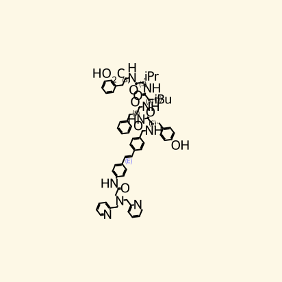 CC[C@H](C)[C@H](NC(=O)[C@H](Cc1ccccc1)NC(=O)[C@H](Cc1ccc(O)cc1)NC(=O)c1ccc(/C=C/c2ccc(NC(=O)CN(Cc3ccccn3)Cc3ccccn3)cc2)cc1)C(=O)N[C@H](C(=O)N[C@@H](Cc1ccccc1)C(=O)O)C(C)C